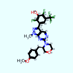 COc1ccc(C[C@@H]2COCCN2c2ncc3c(-c4cc(C(F)(F)F)c(F)c(O)c4F)nn(C)c3n2)cc1